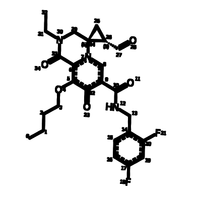 CCCCOc1c2n(cc(C(=O)NCc3ccc(F)cc3F)c1=O)[C@]1(C[C@@H]1C=O)CN(CC)C2=O